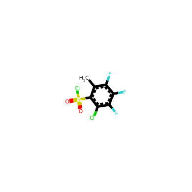 Cc1c(F)c(F)c(F)c(Cl)c1S(=O)(=O)Cl